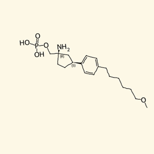 COCCCCCCc1ccc([C@H]2CC[C@](N)(COP(=O)(O)O)C2)cc1